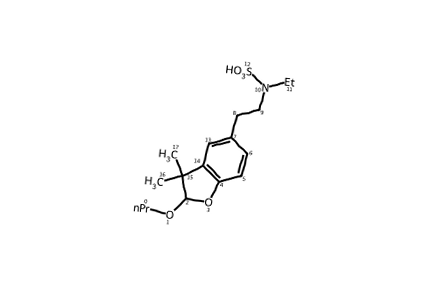 CCCOC1Oc2ccc(CCN(CC)S(=O)(=O)O)cc2C1(C)C